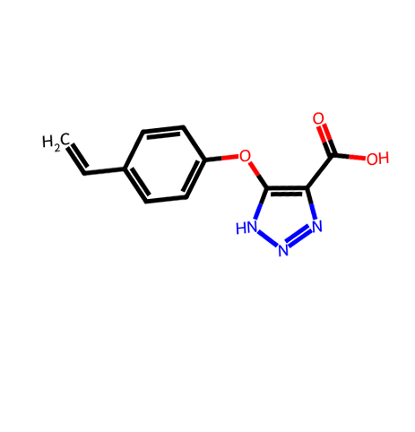 C=Cc1ccc(Oc2[nH]nnc2C(=O)O)cc1